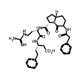 N=C(N)NCC[C@H](NC(=O)[C@@H]1CC[C@@H]2CCC(NC(=O)Cc3ccccc3)C(=O)N21)C(=O)N[C@@H](CCc1ccccc1)CC(=O)O